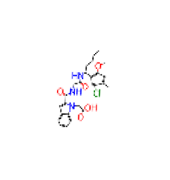 CCCCC(NC(=O)CNC(=O)c1cc2ccccc2n1CC(=O)O)c1cc(Cl)c(C)cc1OC